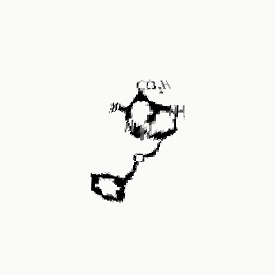 O=C(O)c1c(Br)nn2c1NC[C@H]2COCc1ccccc1